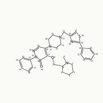 CN1CCCCC1COc1c(N2CCN(Cc3csc(-c4ccccc4)n3)CC2)cnn(-c2ccccc2)c1=O